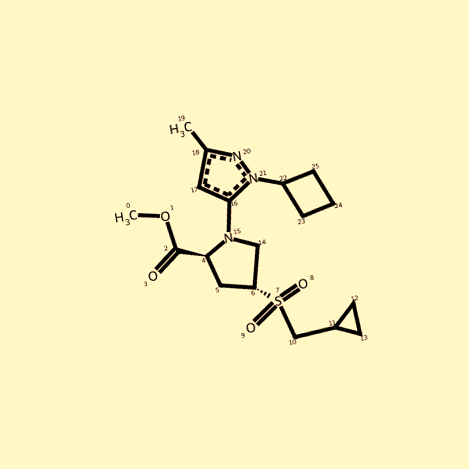 COC(=O)[C@@H]1C[C@@H](S(=O)(=O)CC2CC2)CN1c1cc(C)nn1C1CCC1